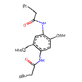 COc1cc(NC(=O)CC(C)(C)C)c(OC)cc1NC(=O)CC(C)C